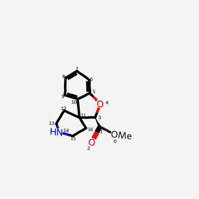 COC(=O)[C@@H]1Oc2ccccc2C12CCNCC2